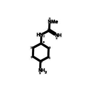 CNC(=N)NC1CCC(N)CC1